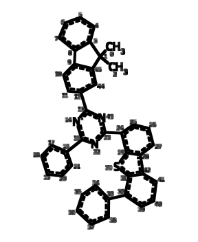 CC1(C)c2ccccc2-c2ccc(-c3nc(-c4ccccc4)nc(-c4cccc5c4sc4c(-c6ccccc6)cccc45)n3)cc21